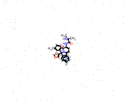 CN[C@@H](C)C(=O)Nc1ccc(-c2ccc(F)cc2)n(C(C2=COCO2)(c2cccnc2)c2cccc(C)c2)c1=O